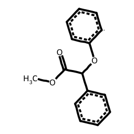 COC(=O)C(Oc1[c]cccc1)c1ccccc1